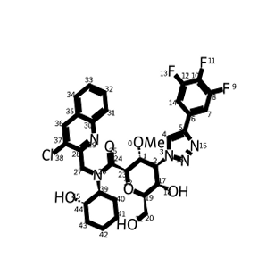 CO[C@@H]1[C@@H](n2cc(-c3cc(F)c(F)c(F)c3)nn2)[C@@H](O)[C@@H](CO)O[C@H]1C(=O)N(Cc1nc2ccccc2cc1Cl)[C@H]1CCCC[C@@H]1O